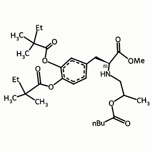 CCCCC(=O)OC(C)CN[C@@H](Cc1ccc(OC(=O)C(C)(C)CC)c(OC(=O)C(C)(C)CC)c1)C(=O)OC